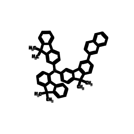 CC1(C)c2ccc(-c3ccc4ccccc4c3)cc2-c2cc(N(c3ccc4c(c3)C(C)(C)c3ccccc3-4)c3cccc4c3-c3ccccc3C4(C)C)ccc21